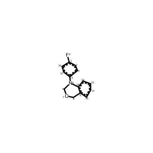 Fc1ccc(N2COCc3ccccc32)cc1